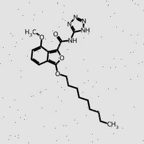 CCCCCCCCCOc1oc(C(=O)Nc2nnn[nH]2)c2c(OC)cccc12